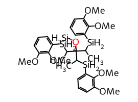 COc1cccc([SiH2]C(C)C(O[SiH3])(C(C)[SiH2]c2cccc(OC)c2OC)C(C)[SiH2]c2cccc(OC)c2OC)c1OC